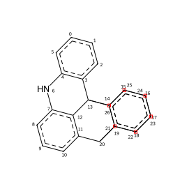 c1ccc2c(c1)Nc1cccc3c1C21c2ccccc2C3c2ccccc21